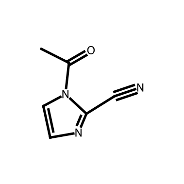 CC(=O)n1ccnc1C#N